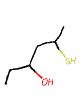 CCC(O)CC(C)S